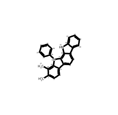 Cc1ccc2c3ccc4c5ccccc5[nH]c4c3n(-c3ccccc3)c2c1C